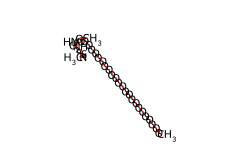 COCCOCCOCCOCCOCCOCCOCCOCCOCCOCCOCCOCCOCCOCCOCCOCCOCCOCCOCCOCCOCCOCCOC(C)CC(=O)OC1CNC(C(=O)NCc2ccc(-c3scnc3C)cc2)C1